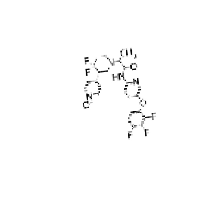 C[C@@H](C(=O)Nc1ccc(Oc2ccc(F)c(F)c2F)cn1)N1CCC(F)(F)[C@@H](c2cc[n+]([O-])cc2)C1